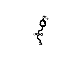 O=[N+]([O-])c1ccc(CCS(=O)(=O)CCO)cc1